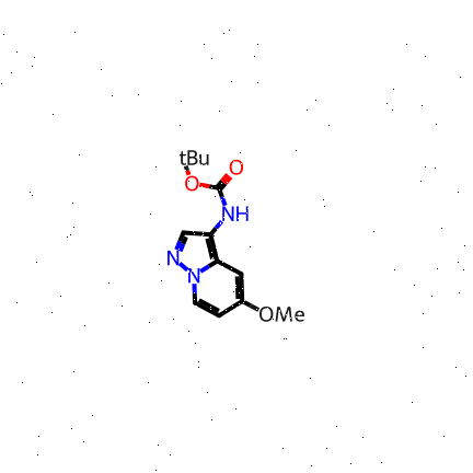 COc1ccn2ncc(NC(=O)OC(C)(C)C)c2c1